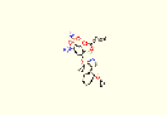 CCCCCC(=O)Oc1c(Cl)c(COC2(c3cnccc3-c3ccccc3OC3CC3)CC2)cc(N)c1S(N)(=O)=O